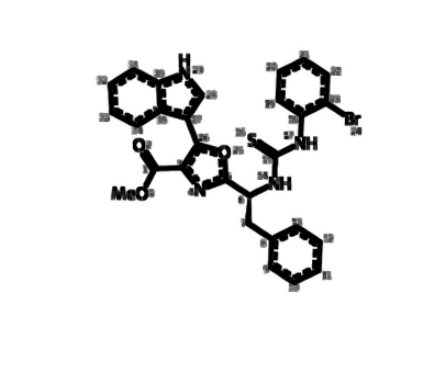 COC(=O)c1nc([C@H](Cc2ccccc2)NC(=S)Nc2ccccc2Br)oc1-c1c[nH]c2ccccc12